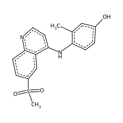 Cc1cc(O)ccc1Nc1ccnc2ccc(S(C)(=O)=O)cc12